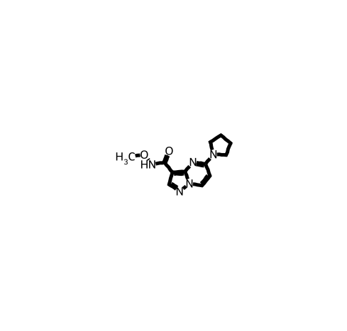 CONC(=O)c1cnn2ccc(N3CCCC3)nc12